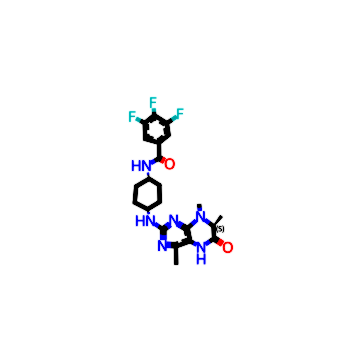 Cc1nc(N[C@H]2CC[C@@H](NC(=O)c3cc(F)c(F)c(F)c3)CC2)nc2c1NC(=O)[C@H](C)N2C